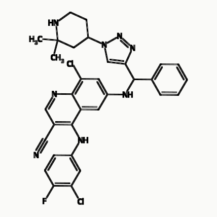 CC1(C)CC(n2cc(C(Nc3cc(Cl)c4ncc(C#N)c(Nc5ccc(F)c(Cl)c5)c4c3)c3ccccc3)nn2)CCN1